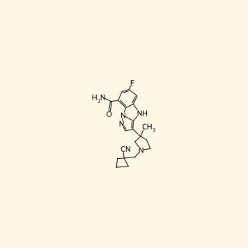 CC1(c2cnn3c2[nH]c2cc(F)cc(C(N)=O)c23)CCN(CC2(C#N)CCC2)C1